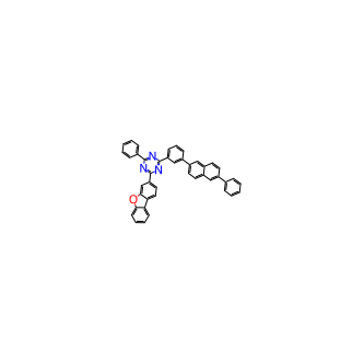 c1ccc(-c2ccc3cc(-c4cccc(-c5nc(-c6ccccc6)nc(-c6ccc7c(c6)oc6ccccc67)n5)c4)ccc3c2)cc1